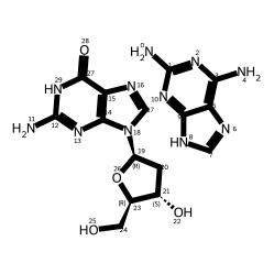 Nc1nc(N)c2nc[nH]c2n1.Nc1nc2c(ncn2[C@H]2C[C@H](O)[C@@H](CO)O2)c(=O)[nH]1